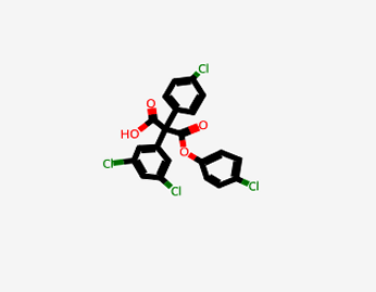 O=C(O)C(C(=O)Oc1ccc(Cl)cc1)(c1ccc(Cl)cc1)c1cc(Cl)cc(Cl)c1